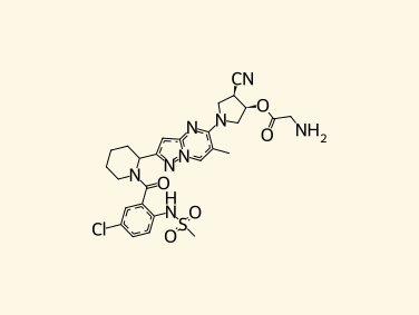 Cc1cn2nc(C3CCCCN3C(=O)c3cc(Cl)ccc3NS(C)(=O)=O)cc2nc1N1C[C@@H](C#N)[C@@H](OC(=O)CN)C1